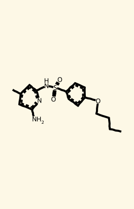 CCCCOc1ccc(S(=O)(=O)Nc2cc(C)cc(N)n2)cc1